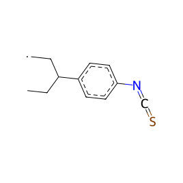 [CH2]CC(CC)c1ccc(N=C=S)cc1